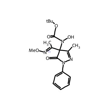 CO/N=C(\C)C1(N(O)C(=O)OC(C)(C)C)C(=O)N(c2ccccc2)N=C1C